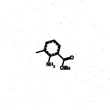 Cc1cccc(C(=O)OCC(C)C)c1N